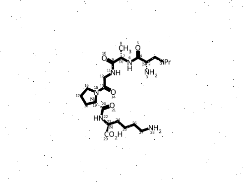 CC(C)C[C@H](N)C(=O)N[C@@H](C)C(=O)NCC(=O)N1CCC[C@H]1C(=O)N[C@@H](CCCCN)C(=O)O